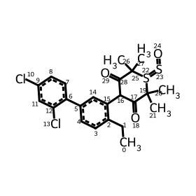 CCc1ccc(-c2ccc(Cl)cc2Cl)cc1C1C(=O)C(C)(C)S(=S=O)C(C)(C)C1=O